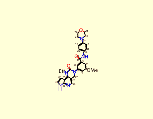 CCN1C(=O)N(c2cc(OC)cc(C(=O)Nc3ccc(N4CCOCC4)cc3)c2)Cc2cnc3[nH]ccc3c21